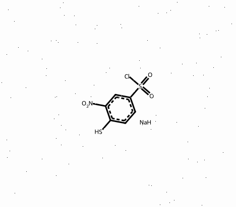 O=[N+]([O-])c1cc(S(=O)(=O)Cl)ccc1S.[NaH]